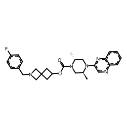 C[C@@H]1CN(c2cnc3ccccc3n2)[C@@H](C)CN1C(=O)OC1CC2(C1)CN(Cc1ccc(F)cc1)C2